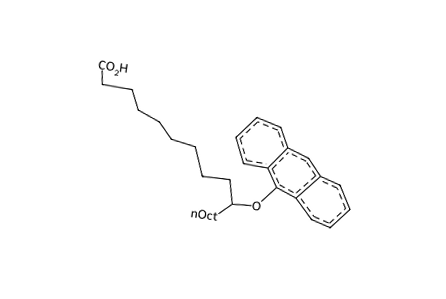 CCCCCCCCC(CCCCCCCCC(=O)O)Oc1c2ccccc2cc2ccccc12